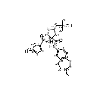 CN1CCc2ccc(NC(=O)C3(NC(=O)c4ccc(Cl)s4)CCC(CC(C)(C)O)C3)cc2CC1